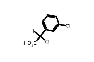 O=C(O)C(Cl)(I)c1cccc(Cl)c1